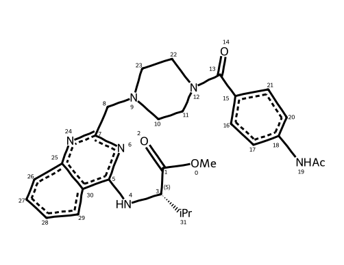 COC(=O)[C@@H](Nc1nc(CN2CCN(C(=O)c3ccc(NC(C)=O)cc3)CC2)nc2ccccc12)C(C)C